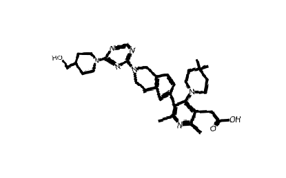 Cc1nc(C)c(-c2ccc3c(c2)CCN(c2ncnc(N4CCC(CO)CC4)n2)C3)c(N2CCC(C)(C)CC2)c1CC(=O)O